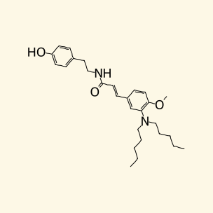 CCCCCN(CCCCC)c1cc(C=CC(=O)NCCc2ccc(O)cc2)ccc1OC